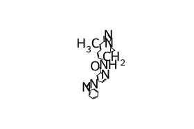 C=C(/C=C\C=C(/C)c1cncn1C1CC1)NC(=O)c1cc(-n2cnc3ccccc32)ccn1